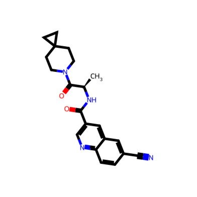 C[C@@H](NC(=O)c1cnc2ccc(C#N)cc2c1)C(=O)N1CCC2(CC1)CC2